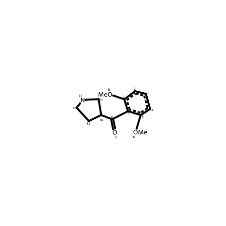 COc1cccc(OC)c1C(=O)C1CC[N]C1